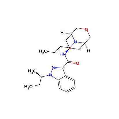 CCCCN1[C@@H]2COC[C@H]1C[C@@H](NC(=O)c1nn([C@H](C)CC)c3ccccc13)C2